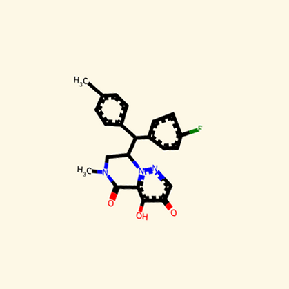 Cc1ccc(C(c2ccc(F)cc2)C2CN(C)C(=O)c3c(O)c(=O)cnn32)cc1